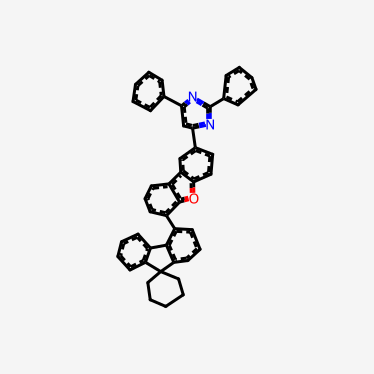 c1ccc(-c2cc(-c3ccc4oc5c(-c6cccc7c6-c6ccccc6C76CCCCC6)cccc5c4c3)nc(-c3ccccc3)n2)cc1